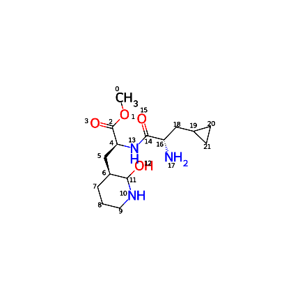 COC(=O)[C@H](C[C@@H]1CCCNC1O)NC(=O)[C@@H](N)CC1CC1